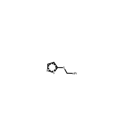 CCCCSc1ccns1